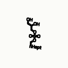 CCCCCCCCOS(=O)(=O)OCC(O)CO